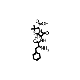 CC1(C)S[C@@H]2[C@H](NC(=O)C(N)CC3=CCC=CC3)C(=O)N2[C@H]1C(=O)O